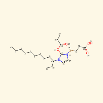 CCCCCCCCCC(CC)N1C=CN(SCCC(=O)O)C1OC(=O)CC